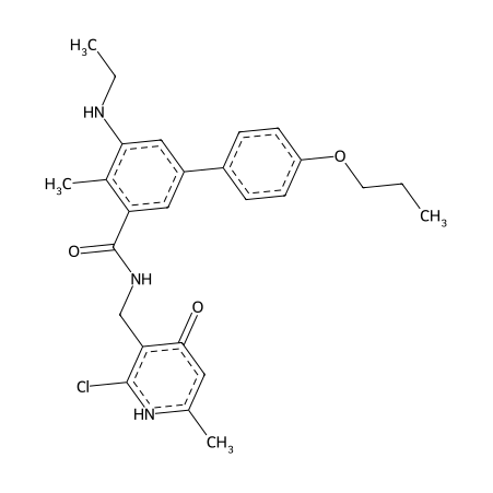 CCCOc1ccc(-c2cc(NCC)c(C)c(C(=O)NCc3c(Cl)[nH]c(C)cc3=O)c2)cc1